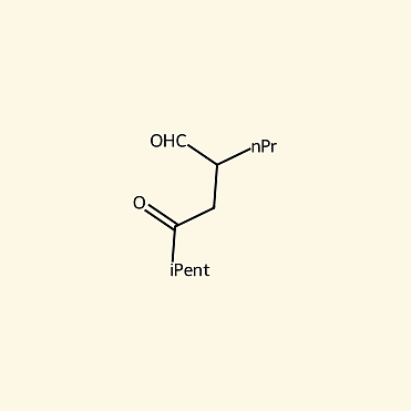 CCCC(C=O)CC(=O)C(C)CCC